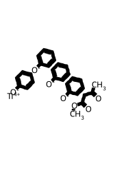 COC(=O)CC(C)=O.[O-]c1ccccc1.[O-]c1ccccc1.[O-]c1ccccc1.[O-]c1ccccc1.[Ti+4]